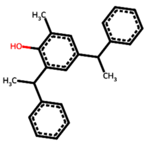 Cc1cc(C(C)c2ccccc2)cc(C(C)c2ccccc2)c1O